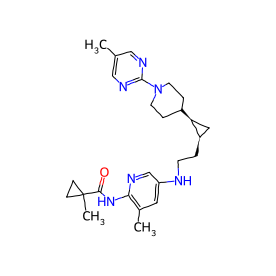 Cc1cnc(N2CCC([C@H]3C[C@H]3CCNc3cnc(NC(=O)C4(C)CC4)c(C)c3)CC2)nc1